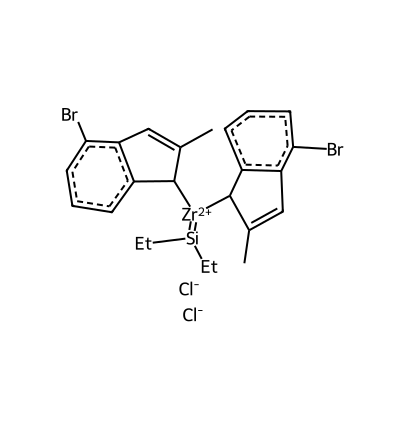 CC[Si](CC)=[Zr+2]([CH]1C(C)=Cc2c(Br)cccc21)[CH]1C(C)=Cc2c(Br)cccc21.[Cl-].[Cl-]